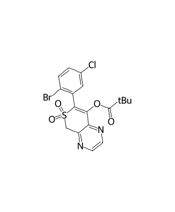 CC(C)(C)C(=O)OC1=C(c2cc(Cl)ccc2Br)S(=O)(=O)Cc2nccnc21